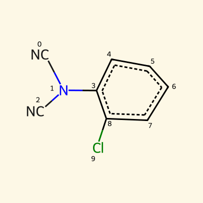 N#CN(C#N)c1ccccc1Cl